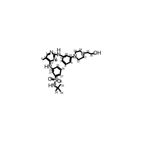 Cc1cnc(Nc2cccc(N3CCN(CCO)CC3)c2)nc1Nc1cccc(S(=O)(=O)NC(C)(C)C)c1